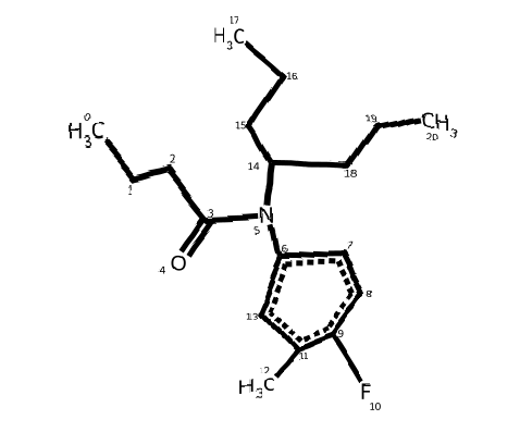 CCCC(=O)N(c1ccc(F)c(C)c1)C(CCC)CCC